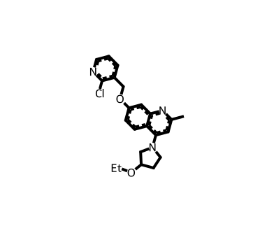 CCOC1CCN(c2cc(C)nc3cc(OCc4cccnc4Cl)ccc23)C1